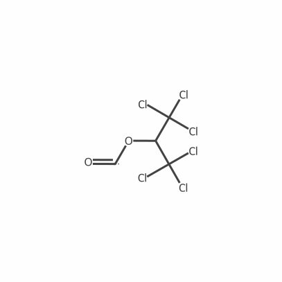 O=[C]OC(C(Cl)(Cl)Cl)C(Cl)(Cl)Cl